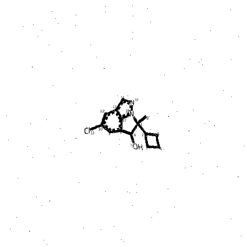 CC1(C2CCC2)C(O)c2cc(Cl)cc3cnn1c23